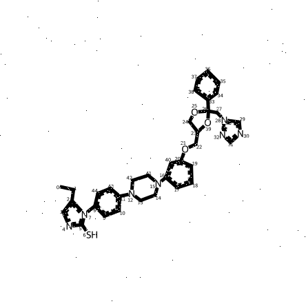 CCc1cnc(S)n1-c1ccc(N2CCN(c3cccc(OCC4COC(Cn5cncn5)(c5ccccc5)O4)c3)CC2)cc1